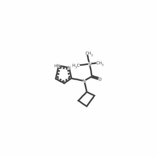 C[Si](C)(C)C(=O)N(c1cc[nH]n1)C1CCC1